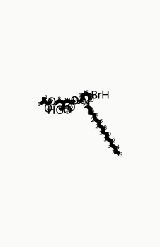 Br.C=C(C)C(=O)OCCC(CC(=O)OCC1=CC=CCN1CCCCCCCCCCCCCCCC)C(=O)O